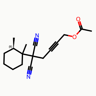 CC(=O)OCC#CCC(C#N)(C#N)C1(C)CCCC[C@H]1C